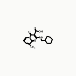 Cc1cccn2c(=O)c(C(=O)O)c(NCC3CCCCC3)nc12